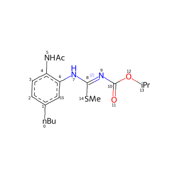 CCCCc1ccc(NC(C)=O)c(N/C(=N/C(=O)OC(C)C)SC)c1